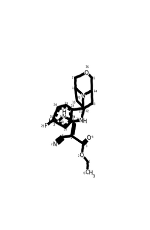 CCOC(=O)C(C#N)=C(NC)NC1CC2COCC(C1)N2Cc1ccc(F)cc1